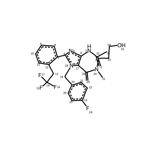 C=C(C)Nc1nc(-c2ccccc2CC(F)(F)F)n(Cc2ccc(F)cc2)c1C(=C)N(C)CCCO